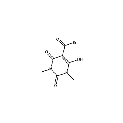 CCC(=O)c1c(O)n(C)c(=O)n(C)c1=O